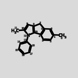 Cc1ccc2c(c1)Cc1cc(C)n(-c3ccccc3)c1-2